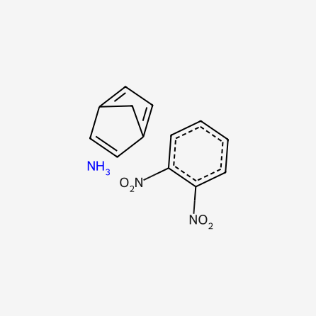 C1=CC2=CC=C1C2.N.O=[N+]([O-])c1ccccc1[N+](=O)[O-]